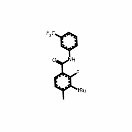 Cc1ccc(C(=O)Nc2cccc(C(F)(F)F)c2)c(F)c1C(C)(C)C